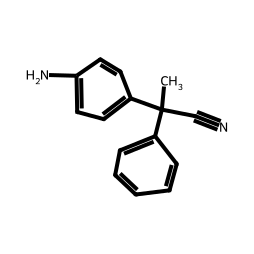 CC(C#N)(c1ccccc1)c1ccc(N)cc1